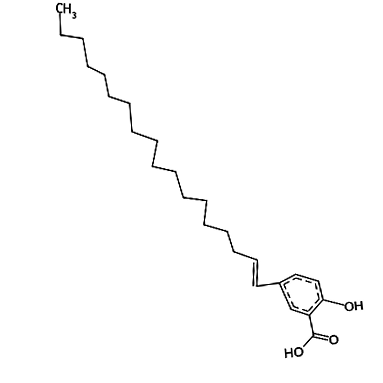 CCCCCCCCCCCCCCCCC=Cc1ccc(O)c(C(=O)O)c1